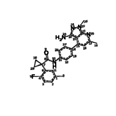 Cc1ccc(F)c(C2(C(=O)Nc3ccc(-c4cc(C)nc5c4c(N)nn5C)cc3)CC2)c1